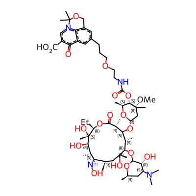 CC[C@H]1OC(=O)[C@H](C)[C@@H](O[C@H]2C[C@@](C)(OC)[C@@H](OC(=O)NCCOCCCc3cc4c5c(c3)c(=O)c(C(=O)O)cn5C(C)(C)OC4)[C@H](C)O2)[C@H](C)[C@@H](OC2O[C@H](C)C[C@H](N(C)C)[C@H]2O)[C@](C)(O)C[C@@H](C)/C(=N\O)[C@H](C)[C@@H](O)[C@]1(C)O